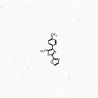 Cc1ccc(-c2nc(-c3ncco3)sc2C)cc1